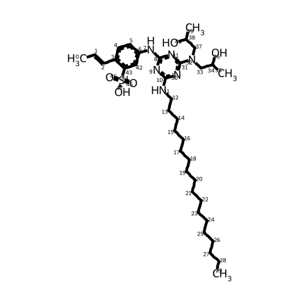 CC=Cc1ccc(Nc2nc(NCCCCCCCCCCCCCCCCCC)nc(N(CC(C)O)CC(C)O)n2)cc1S(=O)(=O)O